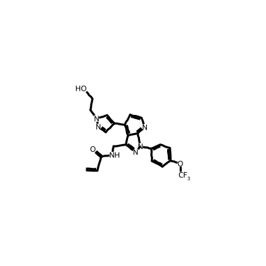 C=CC(=O)NCc1nn(-c2ccc(OC(F)(F)F)cc2)c2nccc(-c3cnn(CCO)c3)c12